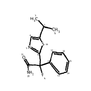 CC(C)c1cnc(C(F)(C(N)=O)c2ccccc2)s1